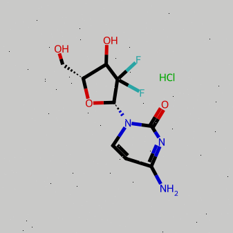 Cl.Nc1ccn([C@@H]2O[C@H](CO)C(O)C2(F)F)c(=O)n1